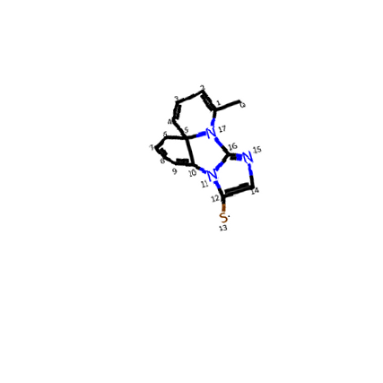 CC1=CC=CC23CC=CC=C2n2c([S])cnc2N13